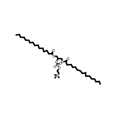 CCCCCCCCCCCCCCCC(=O)OCC(COC(=O)CCCCCCCCCCCCCCC)OP(=O)([O-])OCC[N+](C)(C)C